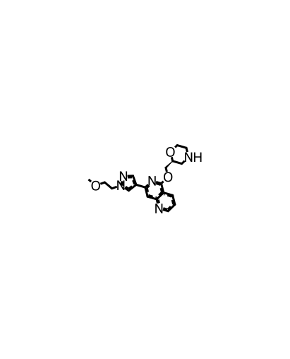 COCCn1cc(-c2cc3ncccc3c(OC[C@@H]3CNCCO3)n2)cn1